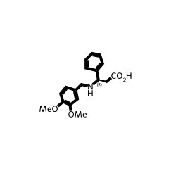 COc1ccc(CN[C@H](CC(=O)O)c2ccccc2)cc1OC